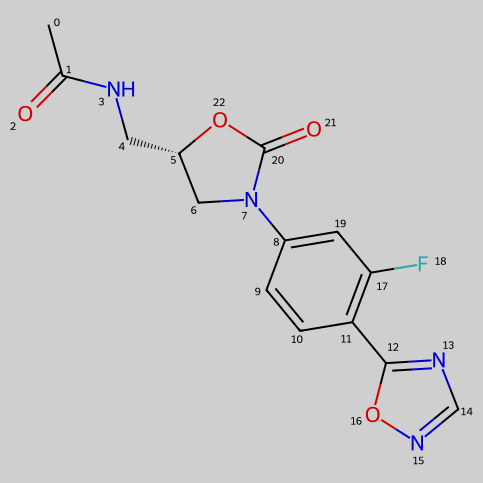 CC(=O)NC[C@H]1CN(c2ccc(-c3ncno3)c(F)c2)C(=O)O1